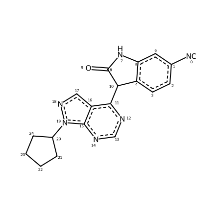 [C-]#[N+]c1ccc2c(c1)NC(=O)C2c1ncnc2c1cnn2C1CCCC1